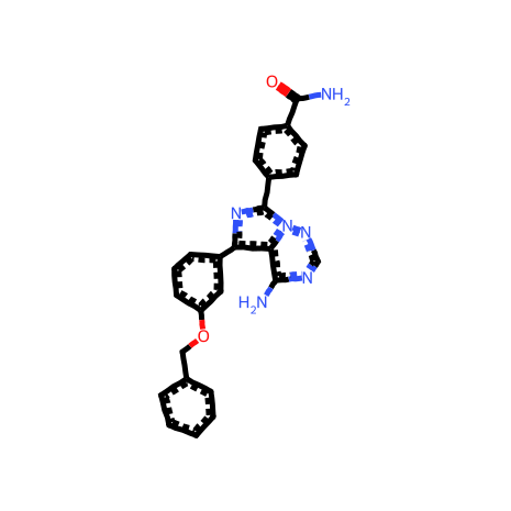 NC(=O)c1ccc(-c2nc(-c3cccc(OCc4ccccc4)c3)c3c(N)ncnn23)cc1